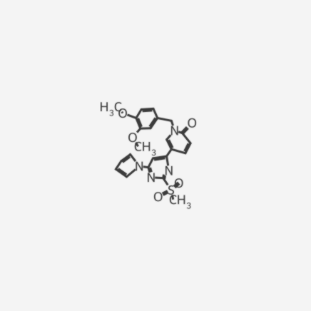 COc1ccc(Cn2cc(-c3cc(-n4cccc4)nc(S(C)(=O)=O)n3)ccc2=O)cc1OC